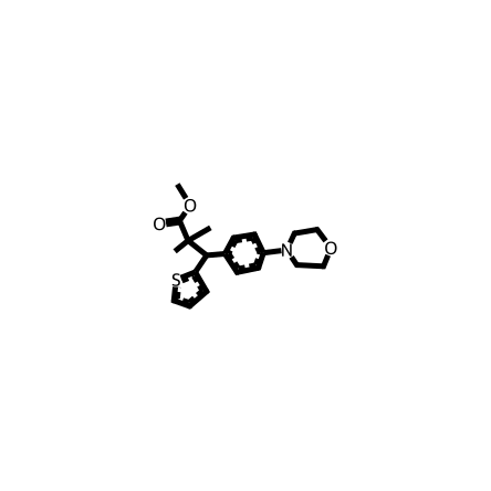 COC(=O)C(C)(C)C(c1ccc(N2CCOCC2)cc1)c1cccs1